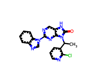 CC(c1cccnc1Cl)n1c(=O)[nH]c2cnc(-n3cnc4ccccc43)nc21